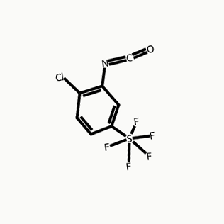 O=C=Nc1cc(S(F)(F)(F)(F)F)ccc1Cl